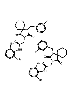 CC(C)c1cccc(C(C)C)c1NC(=O)CN1C(=O)N(Cc2cccc(F)c2)C2(CCCCC2)C1=O.Cc1cccc(CN2C(=O)N(CC(=O)Nc3c(C(C)C)cccc3C(C)C)C(=O)C23CCCCC3)c1